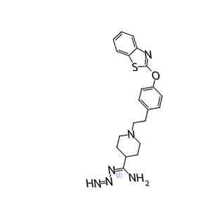 N=N/N=C(\N)C1CCN(CCc2ccc(Oc3nc4ccccc4s3)cc2)CC1